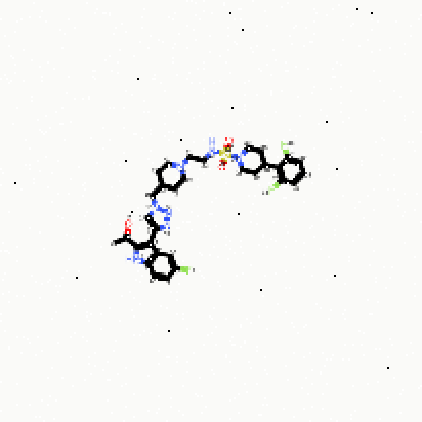 CC(=O)c1[nH]c2ccc(F)cc2c1-c1cn(CC2CCN(CCNS(=O)(=O)N3CCC(c4c(F)cccc4F)CC3)CC2)nn1